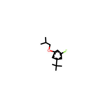 CC(C)COc1cc(F)cc(C(C)(C)C)c1